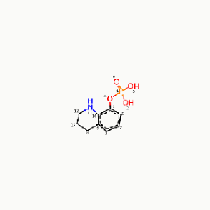 O=P(O)(O)Oc1cccc2c1NCCC2